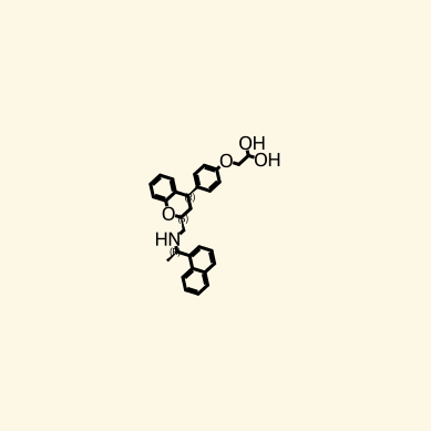 C[C@@H](NC[C@@H]1C[C@H](c2ccc(OCC(O)O)cc2)c2ccccc2O1)c1cccc2ccccc12